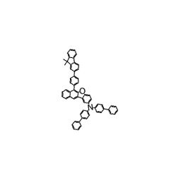 CC1(C)c2ccccc2-c2ccc(-c3ccc(-c4c5ccccc5cc5c4oc4ccc(N(c6ccc(-c7ccccc7)cc6)c6ccc(-c7ccccc7)cc6)cc45)cc3)cc21